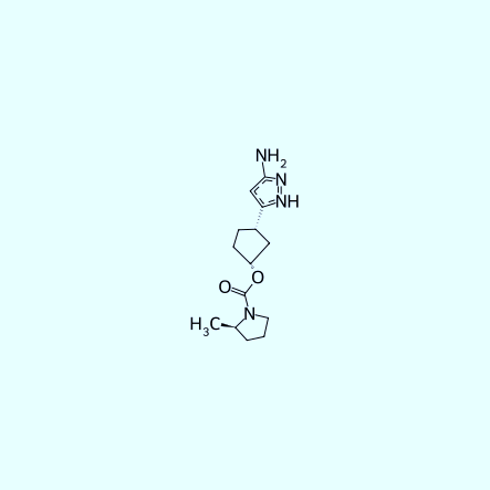 C[C@@H]1CCCN1C(=O)O[C@@H]1CC[C@H](c2cc(N)n[nH]2)C1